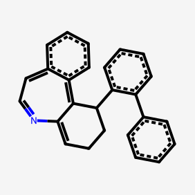 C1=NC2=CCCC(c3ccccc3-c3ccccc3)C2=c2ccccc2=C1